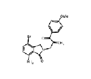 C=C(CN1Cc2c(Br)ccc(N)c2C1=O)C(=O)c1ccc(OC)cc1